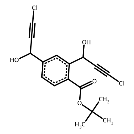 CC(C)(C)OC(=O)c1ccc(C(O)C#CCl)cc1C(O)C#CCl